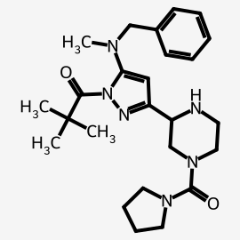 CN(Cc1ccccc1)c1cc(C2CN(C(=O)N3CCCC3)CCN2)nn1C(=O)C(C)(C)C